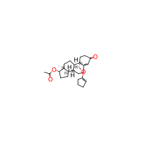 CC(=O)OC1CC[C@H]2[C@@H]3CCC4=CC(=O)CC[C@]4(COC4=CCCC4)[C@@H]3CC[C@]12C